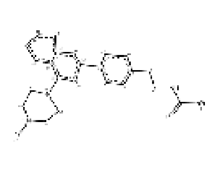 CCCC(=O)NCCc1ccc(-c2cc3ccccc3c(N3CCN(CC)CC3)n2)cc1